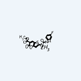 COC(=O)c1cc2sc(N(C)C(=O)Nc3ccc(F)cc3)cc2oc1=O